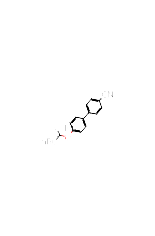 CCCCC(C=O)Oc1ccc(-c2ccc(C#N)cc2)cc1